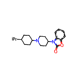 CC(C)C1CCC(N2CCC(n3c(=O)oc4ccccc43)CC2)CC1